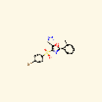 Cc1ccccc1-c1nc(S(=O)(=O)c2ccc(Br)cc2)c(CN)o1